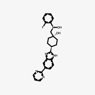 ON(C[C@]1(O)CC[C@H](c2nc3cc(-c4ncccn4)ccc3[nH]2)CC1)c1ccccc1F